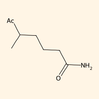 CC(=O)C(C)CCCC(N)=O